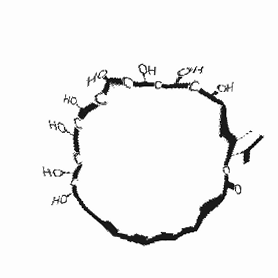 CC(C)[C@@H]1OC(=O)/C=C/C=C/C=C/C=C/C=C/C[C@H](O)C[C@H](O)C[C@H](O)C[C@H](O)C[C@@H](O)C[C@H](O)C[C@@H](O)C[C@@H](O)/C=C/[C@@H]1C